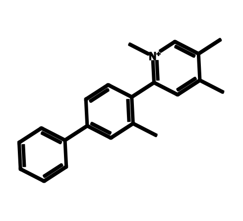 Cc1cc(-c2ccc(-c3ccccc3)cc2C)[n+](C)cc1C